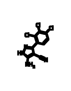 N#Cc1c(-c2ccc(Cl)c(Cl)c2Cl)n[nH]c1N